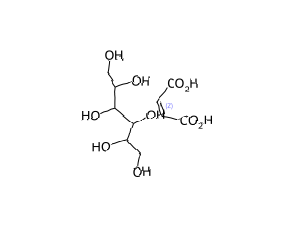 O=C(O)/C=C\C(=O)O.OCC(O)C(O)C(O)C(O)CO